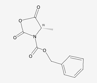 C[C@H]1C(=O)OC(=O)N1C(=O)OCc1ccccc1